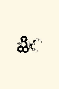 CCOC(=O)N(C)[C@H]1CCc2cccc3c2[C@H]1Cc1ccccc1N3